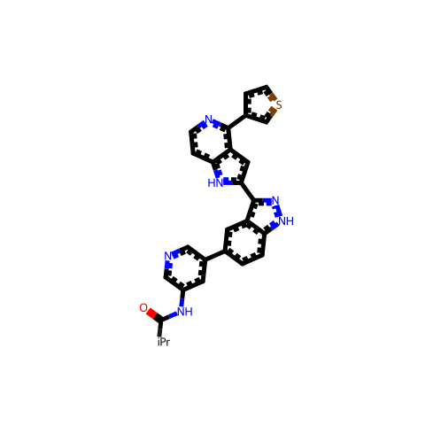 CC(C)C(=O)Nc1cncc(-c2ccc3[nH]nc(-c4cc5c(-c6ccsc6)nccc5[nH]4)c3c2)c1